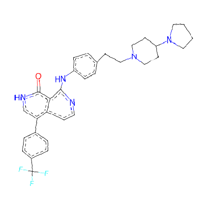 O=c1[nH]cc(-c2ccc(C(F)(F)F)cc2)c2ccnc(Nc3ccc(CCN4CCC(N5CCCC5)CC4)cc3)c12